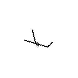 CCCCCC/C=C\CCCCCCCC(=O)OCC(CCCCCCCCCC)CCCCCCCCCCCC